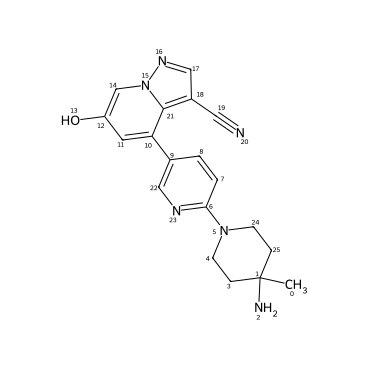 CC1(N)CCN(c2ccc(-c3cc(O)cn4ncc(C#N)c34)cn2)CC1